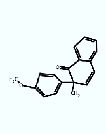 COc1ccc(C2(C)C=Cc3ccccc3C2=O)cc1